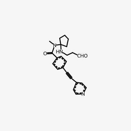 CN(C(=O)c1ccc(C#Cc2ccncc2)cc1)C1(NCCC=O)CCCC1